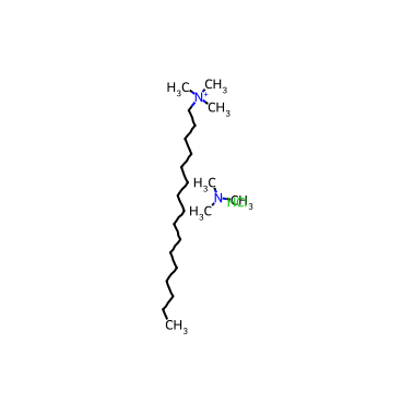 CCCCCCCCCCCCCCCC[N+](C)(C)C.CN(C)C.Cl